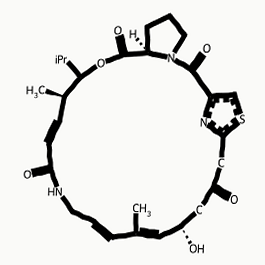 CC1=C\[C@@H](O)CC(=O)Cc2nc(cs2)C(=O)N2CCC[C@@H]2C(=O)OC(C(C)C)[C@H](C)/C=C/C(=O)NC\C=C\1